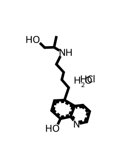 CC(CO)NCCCCc1ccc(O)c2ncccc12.Cl.O